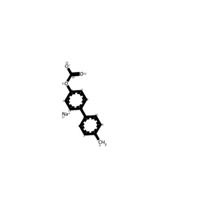 Cc1ccc(-c2ccc(OC(=O)[O-])cc2)cc1.[Na+]